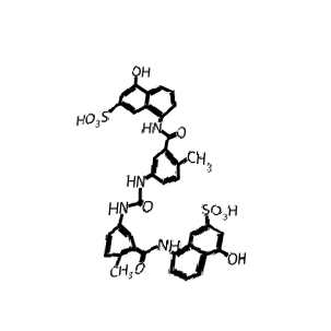 Cc1ccc(NC(=O)Nc2ccc(C)c(C(=O)Nc3cccc4c(O)cc(S(=O)(=O)O)cc34)c2)cc1C(=O)Nc1cccc2c(O)cc(S(=O)(=O)O)cc12